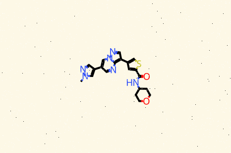 Cn1cc(-c2cnc3c(-c4csc(C(=O)NC5CCOCC5)c4)cnn3c2)cn1